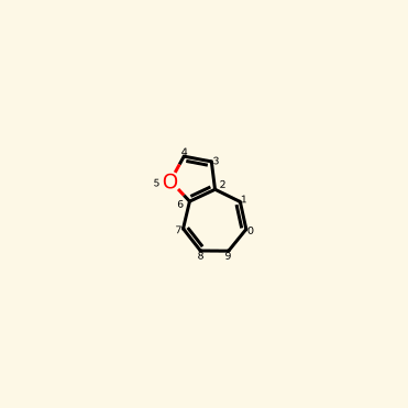 C1=Cc2ccoc2C=CC1